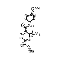 COc1ccc(NC(=O)N2CCN(C(=O)OC(C)(C)C)CC2C)cc1